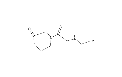 CC(C)CNCC(=O)N1CCCC(=O)C1